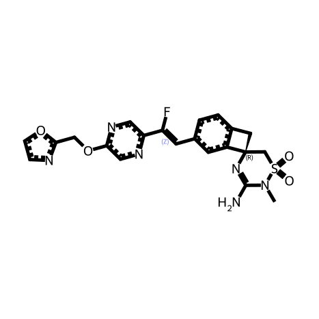 CN1C(N)=N[C@@]2(Cc3ccc(/C=C(\F)c4cnc(OCc5ncco5)cn4)cc32)CS1(=O)=O